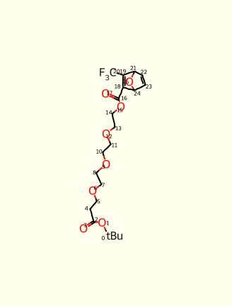 CC(C)(C)OC(=O)CCOCCOCCOCCOC(=O)C1=C(C(F)(F)F)C2C=CC1O2